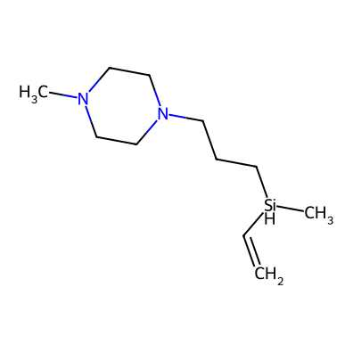 C=C[SiH](C)CCCN1CCN(C)CC1